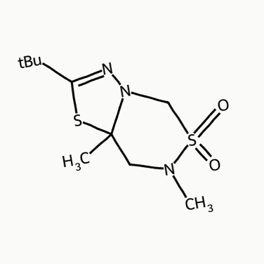 CN1CC2(C)SC(C(C)(C)C)=NN2CS1(=O)=O